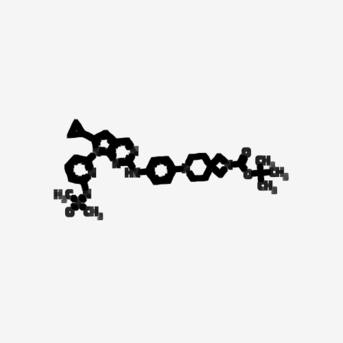 CC(C)(C)OC(=O)N1CC2(CCN(c3ccc(Nc4ncc5cc(C6CC6)n(-c6cccc(N=S(C)(C)=O)n6)c5n4)cc3)CC2)C1